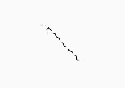 C=C(C)C(=O)NCCCOCCOCCOCCC